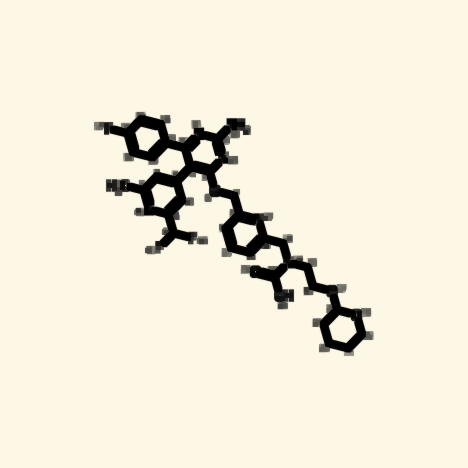 Cc1cc(-c2c(OCc3cccc(CN(CCOC4CCCCO4)C(=O)O)n3)nc(N)nc2-c2ccc(F)cc2)cc(C(F)F)n1